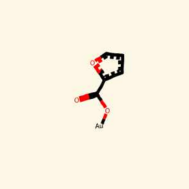 O=C([O][Au])c1ccco1